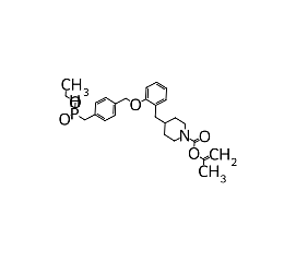 C=C(C)OC(=O)N1CCC(Cc2ccccc2OCc2ccc(C[PH](=O)OCC)cc2)CC1